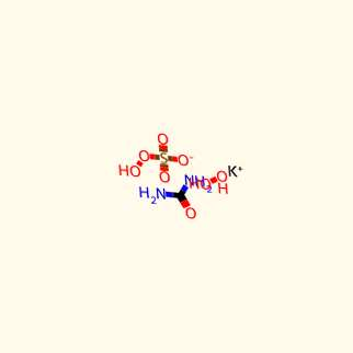 NC(N)=O.O=S(=O)([O-])OO.OO.[K+]